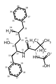 CC(C)(C)[C@H](NC(=O)O)C(=O)N[C@@H](Cc1ccccc1)[C@H](O)C[C@@H](N)Cc1ccccc1